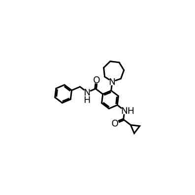 O=C(NCc1ccccc1)c1ccc(NC(=O)C2CC2)cc1N1CCCCCC1